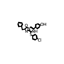 O=c1c(Cc2ccccc2)nc2c(Sc3ccc(Cl)cc3)[nH]c(-c3ccc(O)cc3)cn1-2